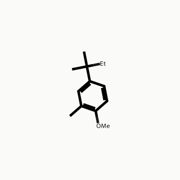 CCC(C)(C)c1ccc(OC)c(C)c1